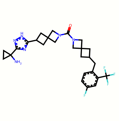 NC1(c2n[nH]c(C3CC4(C3)CN(C(=O)N3CC5(CC(Cc6ccc(F)cc6C(F)(F)F)C5)C3)C4)n2)CC1